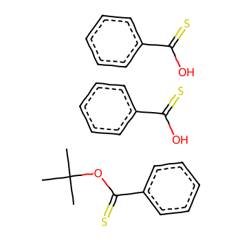 CC(C)(C)OC(=S)c1ccccc1.OC(=S)c1ccccc1.OC(=S)c1ccccc1